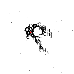 COCCN1CCN(C[C@H]2CCC[C@H](C)[C@@H](C)S(=O)(=O)NC(=O)c3ccc4c(c3)N(C[C@@H]3CC[C@H]23)C[C@@]2(CCCc3cc(Cl)ccc32)CO4)CC1